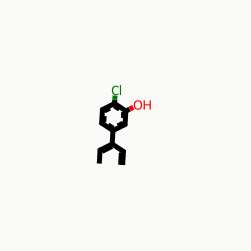 C=C/C(=C\C)c1ccc(Cl)c(O)c1